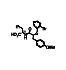 COc1ccc(CC(Sc2ccccc2Br)C(=O)N[C@@H](CC(C)C)C(=O)O)cc1